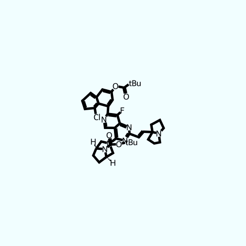 CC(C)(C)OC(=O)N1[C@@H]2CC[C@H]1CN(c1nc(/C=C/C34CCCN3CCC4)nc3c(F)c(-c4cc(OC(=O)C(C)(C)C)cc5cccc(Cl)c45)ncc13)C2